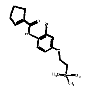 C[Si](C)(C)CCOc1ccc(NC(=O)C2=CCCC2)c(Br)c1